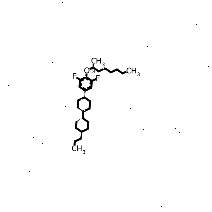 CCCCCC[C@H](C)Oc1c(F)cc([C@H]2CC[C@H]([C@H]3CC[C@H](CCC)CC3)CC2)cc1F